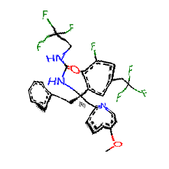 COc1ccc([C@](Cc2ccccc2)(NC(=O)NCC(F)(F)F)c2cc(F)cc(C(F)(F)F)c2)nc1